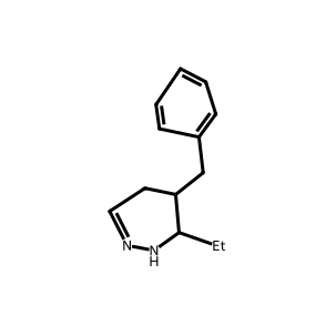 CCC1NN=CCC1Cc1ccccc1